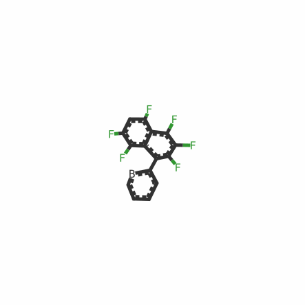 Fc1cc(F)c2c(F)c(F)c(F)c(-c3bcccc3)c2c1F